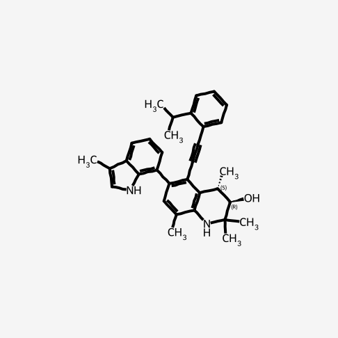 Cc1cc(-c2cccc3c(C)c[nH]c23)c(C#Cc2ccccc2C(C)C)c2c1NC(C)(C)[C@H](O)[C@H]2C